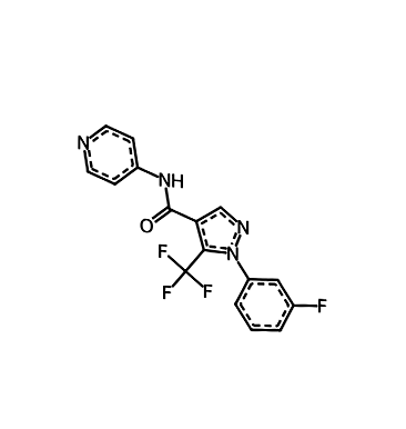 O=C(Nc1ccncc1)c1cnn(-c2cccc(F)c2)c1C(F)(F)F